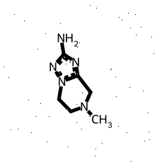 CN1CCn2nc(N)nc2C1